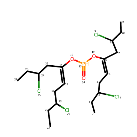 CCC(Cl)CC=C(CC(Cl)CC)O[PH](=O)OC(=CCC(Cl)CC)CC(Cl)CC